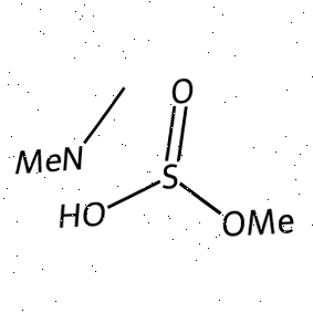 CNC.COS(=O)O